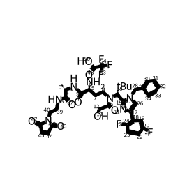 C[C@H](NC(=O)[C@@H](N)CCN(C(=O)CO)[C@@H](c1nc(-c2cc(F)ccc2F)cn1Cc1ccccc1)C(C)(C)C)C(=O)NCCN1C(=O)C=CC1=O.O=C(O)C(F)(F)F